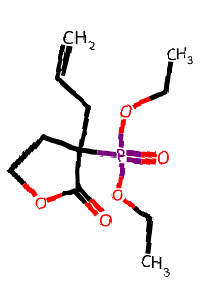 C=CCC1(P(=O)(OCC)OCC)CCOC1=O